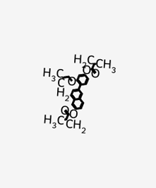 C=C(C)COc1cc(OC(=O)C(=C)C)ccc1-c1ccc2cc(OC(=O)C(=C)C)ccc2c1